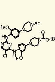 COc1cc(N2CCN(C(C)=O)CC2)ccc1Nc1ncc(Cl)c(Nc2ccc(N3CCN(C(=O)OC(C)(C)C)CC3)cc2OF)n1